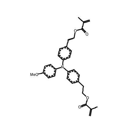 C=C(C)C(=O)OCCc1ccc(N(c2ccc(CCOC(=O)C(=C)C)cc2)c2ccc(OC)cc2)cc1